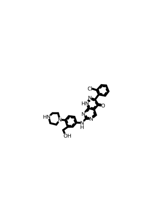 O=c1c(-c2ccccc2Cl)n[nH]c2nc(Nc3ccc(N4CCNCC4)c(CO)c3)ncc12